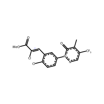 COC(=O)/C(Cl)=C/c1cc(-n2ncc(C(F)(F)F)c(C)c2=O)ccc1Cl